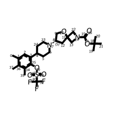 Cc1cc(C2CCN([C@@H]3COC4(C3)CN(C(=O)OC(C)(C)C)C4)CC2)c(OS(=O)(=O)C(F)(F)F)c(C)c1C